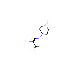 CCN1CCC(N/C=C(/N)C(=N)Cl)CC1